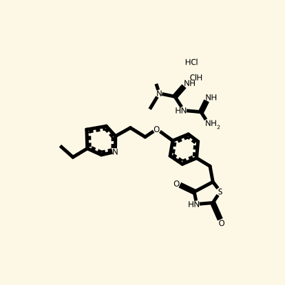 CCc1ccc(CCOc2ccc(CC3SC(=O)NC3=O)cc2)nc1.CN(C)C(=N)NC(=N)N.Cl.Cl